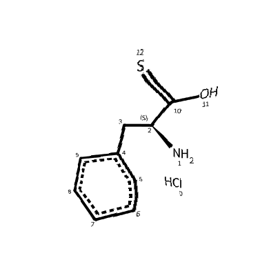 Cl.N[C@@H](Cc1ccccc1)C(O)=S